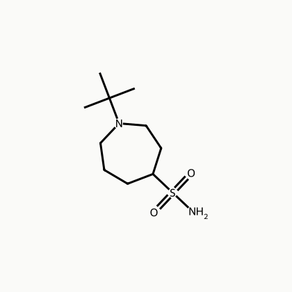 CC(C)(C)N1CCCC(S(N)(=O)=O)CC1